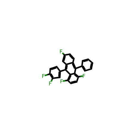 Fc1ccc2c(-c3ccccc3)c3c(F)ccc(F)c3c(-c3ccc(F)c(F)c3)c2c1